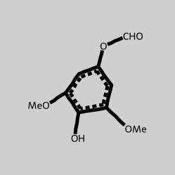 COc1cc(OC=O)cc(OC)c1O